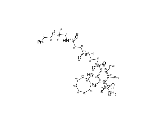 CC(C)CCOC(C)(C)CNC(=O)CCC(=O)NCCS(=O)(=O)c1c(F)c(F)c(S(N)(=O)=O)c(F)c1NC1CCCCCCC1